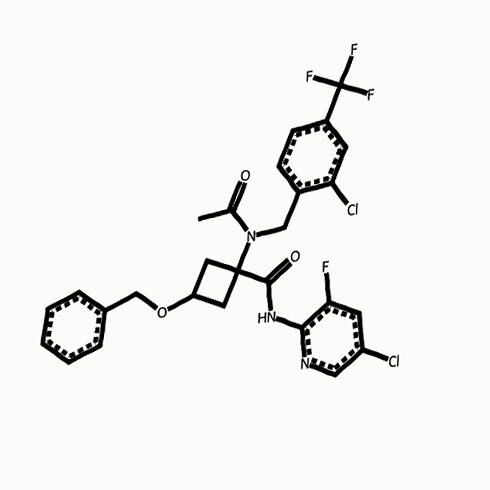 CC(=O)N(Cc1ccc(C(F)(F)F)cc1Cl)C1(C(=O)Nc2ncc(Cl)cc2F)CC(OCc2ccccc2)C1